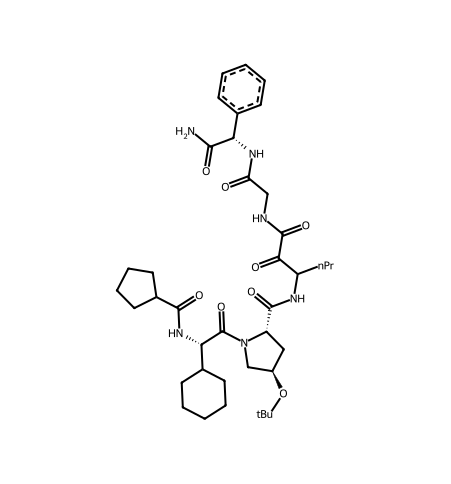 CCCC(NC(=O)[C@@H]1C[C@@H](OC(C)(C)C)CN1C(=O)[C@@H](NC(=O)C1CCCC1)C1CCCCC1)C(=O)C(=O)NCC(=O)N[C@H](C(N)=O)c1ccccc1